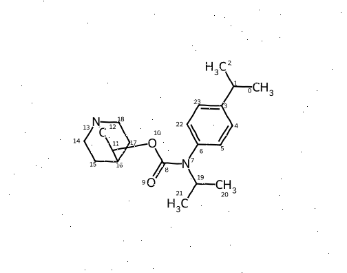 CC(C)c1ccc(N(C(=O)OC2CN3CCC2CC3)C(C)C)cc1